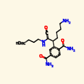 CCCCCCCCCCCCCNC(=C=O)C(CCCCN)c1cc(C(N)=O)ccc1C(N)=O